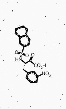 O=C(O)C(=O)[C@H](Cc1cccc([N+](=O)[O-])c1)NS(=O)(=O)c1ccc2ccccc2c1